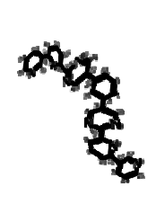 c1cc(-c2cnc(-c3cccc(-c4cccnc4)n3)nc2)cc(-c2cnc(-c3cccc(-c4cccnc4)n3)nc2)c1